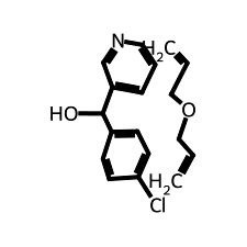 C=CCOCC=C.OC(c1ccc(Cl)cc1)c1cccnc1